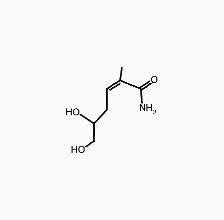 CC(=CCC(O)CO)C(N)=O